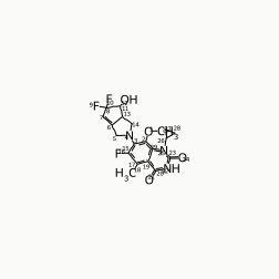 COc1c(N2CC3=CC(F)(F)C(O)C3C2)c(F)c(C)c2c(=O)[nH]c(=O)n(C3CC3)c12